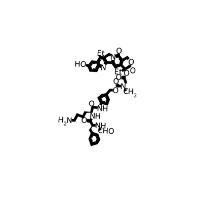 CCc1c2c(nc3ccc(O)cc13)-c1cc3c(c(=O)n1C2)COC(=O)C3(CC)OC(=O)CN(C)C(=O)OCc1ccc(NC(=O)[C@H](CCCCN)NC(=O)[C@H](Cc2ccccc2)NC=O)cc1